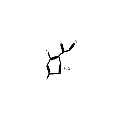 O.O=CC(=O)c1ccc(F)cc1F